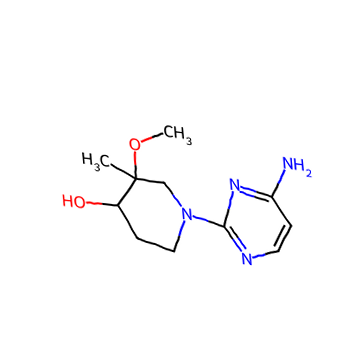 COC1(C)CN(c2nccc(N)n2)CCC1O